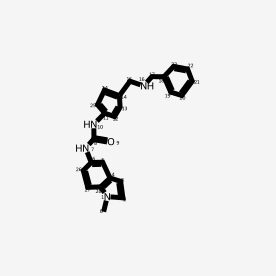 Cn1ccc2cc(NC(=O)Nc3ccc(CNCc4ccccc4)cc3)ccc21